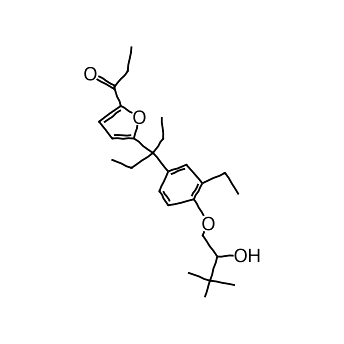 CCC(=O)c1ccc(C(CC)(CC)c2ccc(OCC(O)C(C)(C)C)c(CC)c2)o1